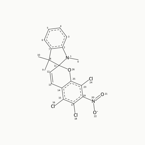 CN1c2ccccc2C(C)(C)C12C=Cc1c(Cl)c(Cl)c([N+](=O)[O-])c(Cl)c1O2